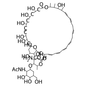 CC(=O)NC1C(OC2C(C)OC(OC3/C=C/C=C/C=C/C=C/C/C=C/C/C=C/C=C/C(C)C(O)C(C)C(C)OC(=O)CC(O)CC(O)CC(O)CCC(O)C(O)CC4(O)CC(O)C(C(=O)O)C(C3)O4)C(O)C2N)CC(CO)C(O)C1O